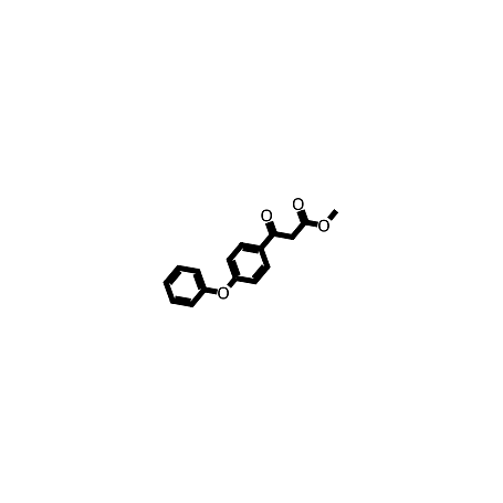 COC(=O)CC(=O)c1ccc(Oc2ccccc2)cc1